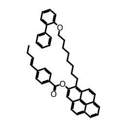 CCC=Cc1ccc(C(=O)Oc2cc3ccc4cccc5ccc(c2CCCCCCCCOc2ccccc2-c2ccccc2)c3c45)cc1